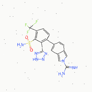 N=C(N)n1cc2ccc(-c3ccc(C(F)(F)F)c(S(N)(=O)=O)c3-c3nn[nH]n3)cc2c1